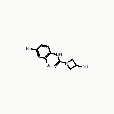 OC1CN(C(=S)Nc2ccc(Br)cc2Br)C1